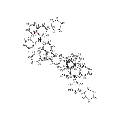 c1ccc(-c2ccccc2N(c2cccc(C3CCCCC3)c2)c2ccc3c4cc5c(cc4n4c6ccccc6c2c34)c2ccc(N(c3cccc(C4CCCCC4)c3)c3ccccc3-c3ccccc3)c3c4ccccc4n5c23)cc1